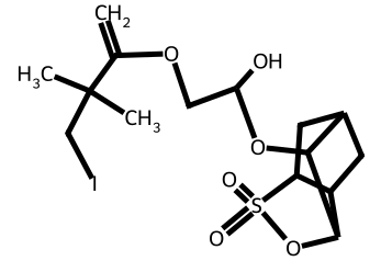 C=C(OCC(O)OC1C2CC3C1OS(=O)(=O)C3C2)C(C)(C)CI